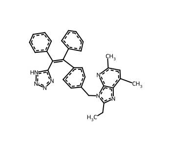 CCc1nc2c(C)cc(C)nc2n1Cc1ccc(C(=C(c2ccccc2)c2nnn[nH]2)c2ccccc2)cc1